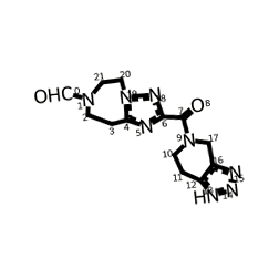 O=CN1CCc2nc(C(=O)N3CCc4[nH]nnc4C3)nn2CC1